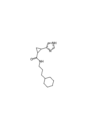 O=C(NCCCC1CCCCC1)C1CC1c1c[nH]cn1